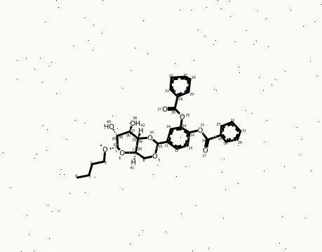 CCCCO[C@H]1O[C@@H]2COC(c3ccc(OC(=O)c4ccccc4)c(OC(=O)c4ccccc4)c3)O[C@H]2[C@H](O)[C@H]1O